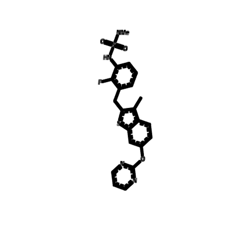 CNS(=O)(=O)Nc1cccc(Cc2sc3cc(Oc4ncccn4)ccc3c2C)c1F